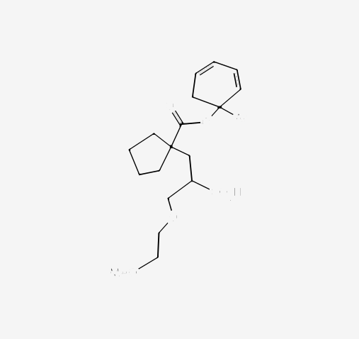 COCCOCC(CC1(C(=O)OC2(C(C)=O)C=CC=CC2)CCCC1)C(=O)O